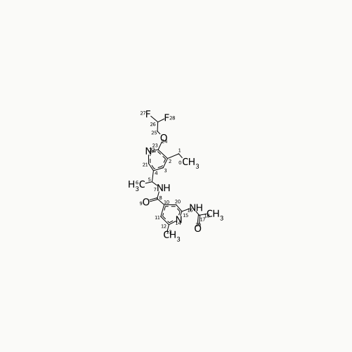 CCc1cc(C(C)NC(=O)c2cc(C)nc(NC(C)=O)c2)cnc1OCC(F)F